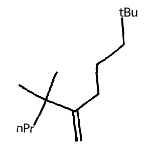 C=C(CCCC(C)(C)C)C(C)(C)CCC